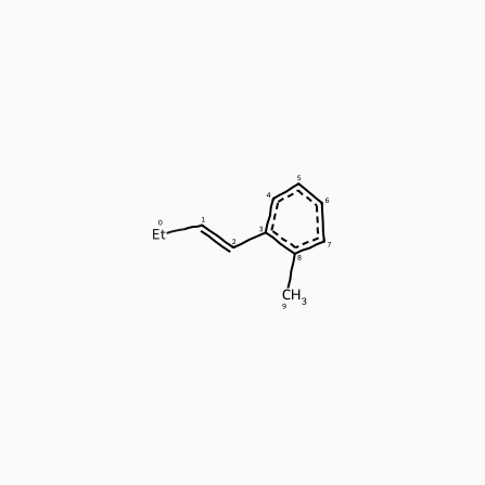 CC/C=C/c1ccccc1C